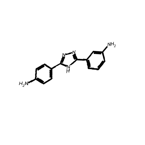 Nc1ccc(-c2nnc(-c3cccc(N)c3)[nH]2)cc1